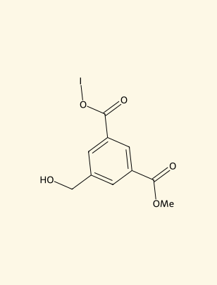 COC(=O)c1cc(CO)cc(C(=O)OI)c1